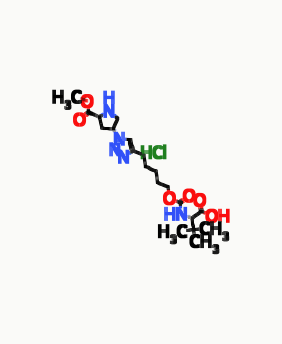 COC(=O)[C@@H]1C[C@@H](n2cc(CCCCCOC(=O)N[C@H](C(=O)O)C(C)(C)C)nn2)CN1.Cl